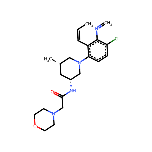 C=Nc1c(Cl)ccc(N2C[C@@H](C)C[C@@H](NC(=O)CN3CCOCC3)C2)c1/C=C\C